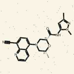 Cc1cc(NC(=O)[C@H]2CN(c3ccc(C#N)c4ncccc34)C[C@@H](C)O2)n(C)n1